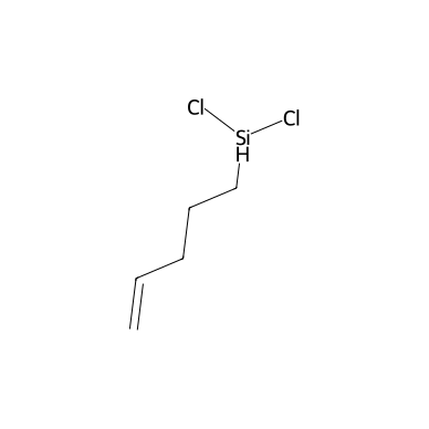 C=CCCC[SiH](Cl)Cl